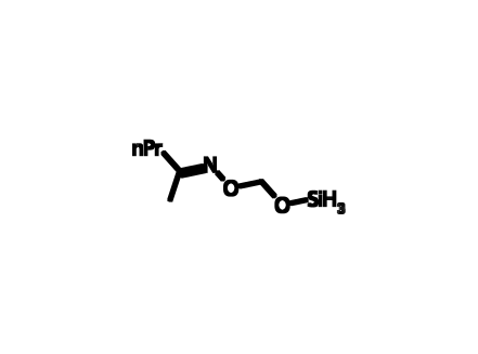 CCCC(C)=NOCO[SiH3]